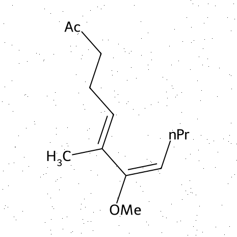 CCC/C=C(/OC)C(C)=CCCC(C)=O